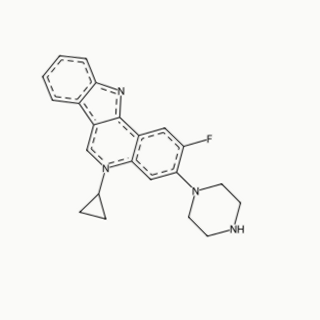 Fc1cc2c3nc4ccccc4c-3cn(C3CC3)c2cc1N1CCNCC1